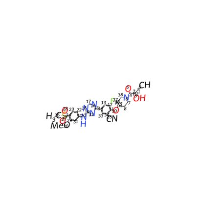 C#C[C@H](O)C(=O)N1CC[C@H](Oc2ccc(-c3ncnc(Nc4ccc(S(C)(=O)=O)c(OC)c4)n3)cc2C#N)[C@H](F)C1